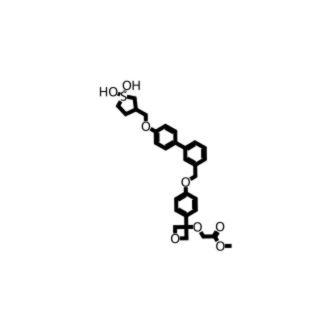 COC(=O)COC1(c2ccc(OCc3cccc(-c4ccc(OCC5CCS(O)(O)C5)cc4)c3)cc2)COC1